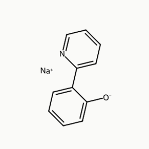 [Na+].[O-]c1ccccc1-c1ccccn1